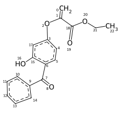 C=C(Oc1ccc(C(=O)c2ccccc2)c(O)c1)C(=O)OCC